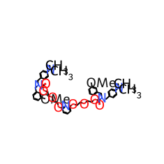 COc1cccc(CN(Cc2ccc(N(C)C)cc2)C(=O)OCCOCCOc2cccc(OCCOCCOC(=O)N(Cc3ccc(N(C)C)cc3)Cc3cccc(OC)c3)n2)c1